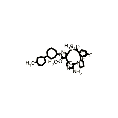 COc1c2c(nn1C1CCCCC(C3CCCC(C)CC3)CC1)CN(C)C(=O)c1ccc(F)cc1[C@H]1CCCN1c1cc-2cnc1N